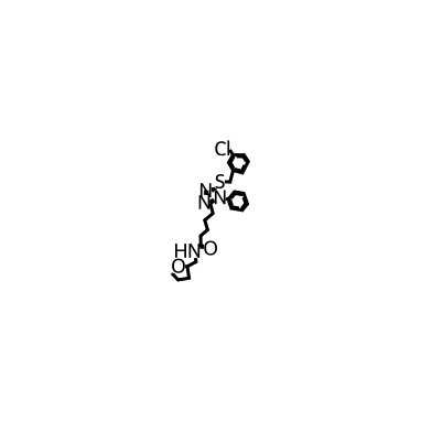 O=C(CCCCc1nnc(SCc2cccc(Cl)c2)n1-c1ccccc1)NCC1CCCO1